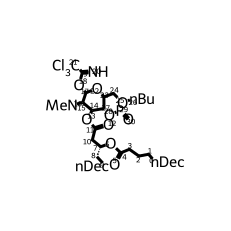 CCCCCCCCCCCCCC(=O)O[C@H](CCCCCCCCCCC)CC(=O)OC1C(NC)C(OC(=N)C(Cl)(Cl)Cl)OC(COCCCC)C1OP=O